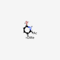 COc1ccc(Br)nc1C(C)=O